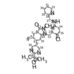 Cn1c(=O)c2cc(F)c(-c3cnc(C(C)(C)O)nc3)cc2n1Cc1cc(NCc2ccccn2)ccc1Cl